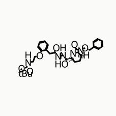 CC(C)(C)OC(=O)NCCOc1ccccc1CC(=O)NNC(=O)[C@@H]1CC[C@@H]2CN1C(=O)N2OCc1ccccc1